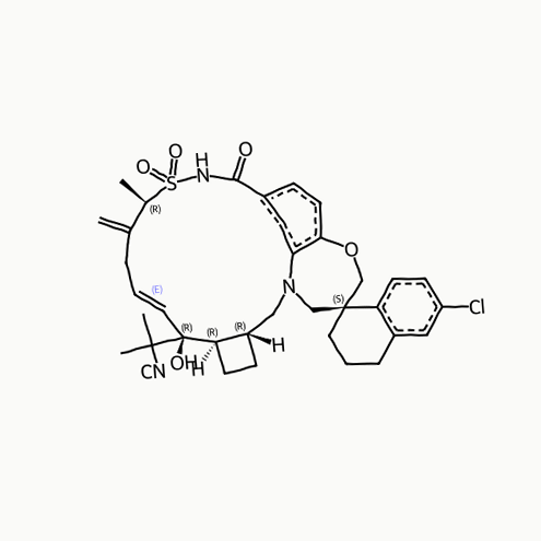 C=C1C/C=C/[C@@](O)(C(C)(C)C#N)[C@@H]2CC[C@H]2CN2C[C@@]3(CCCc4cc(Cl)ccc43)COc3ccc(cc32)C(=O)NS(=O)(=O)[C@@H]1C